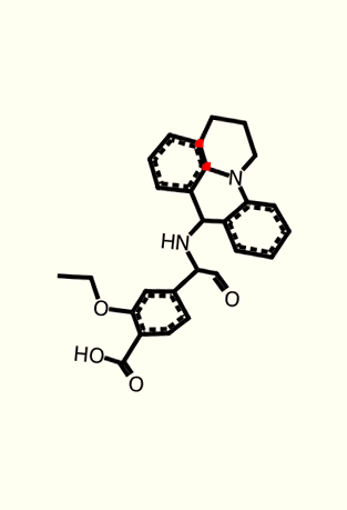 CCOc1cc(C(C=O)NC(c2ccccc2)c2ccccc2N2CCCCC2)ccc1C(=O)O